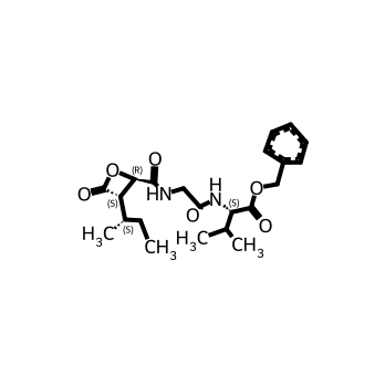 CC[C@H](C)[C@@H]1C(=O)O[C@H]1C(=O)NCC(=O)N[C@H](C(=O)OCc1ccccc1)C(C)C